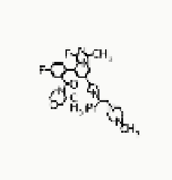 Cc1nc(F)c2c(-c3ccc(F)cc3C(=O)N3CCOC[C@H]3C)cc(C3CN([C@@H](CN4CCN(C)CC4)C(C)C)C3)cn12